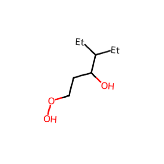 CCC(CC)C(O)CCOO